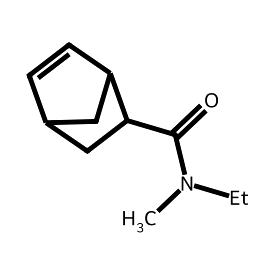 CCN(C)C(=O)C1CC2C=CC1C2